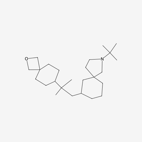 CC(C)(CC1CCCC2(CCN(C(C)(C)C)C2)C1)C1CCC2(CC1)COC2